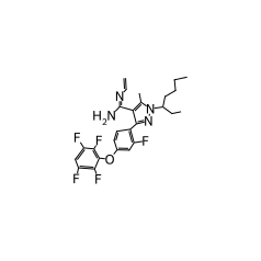 C=C/N=C(/N)c1c(-c2ccc(Oc3c(F)c(F)cc(F)c3F)cc2F)nn(C(CC)CCCC)c1C